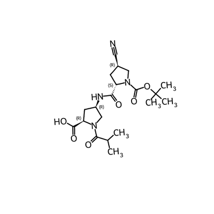 CC(C)C(=O)N1C[C@H](NC(=O)[C@@H]2C[C@@H](C#N)CN2C(=O)OC(C)(C)C)C[C@@H]1C(=O)O